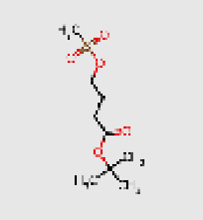 CC(C)(C)OC(=O)CCCOS(C)(=O)=O